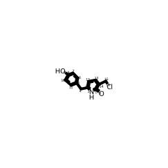 O=c1[nH]c(Cc2ccc(O)cc2)ccc1CCl